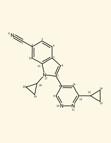 N#Cc1ccc2cc(-c3cnnc(C4CC4)c3)n(C3CC3)c2c1